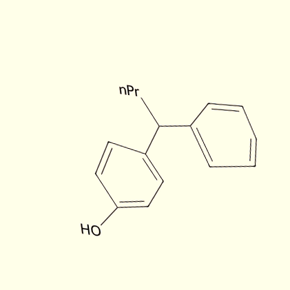 CCCC(c1ccccc1)c1ccc(O)cc1